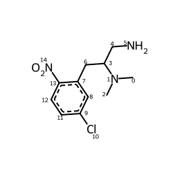 CN(C)C(CN)Cc1cc(Cl)ccc1[N+](=O)[O-]